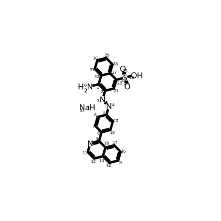 Nc1c(/N=N/c2ccc(-c3nccc4ccccc34)cc2)cc(S(=O)(=O)O)c2ccccc12.[NaH]